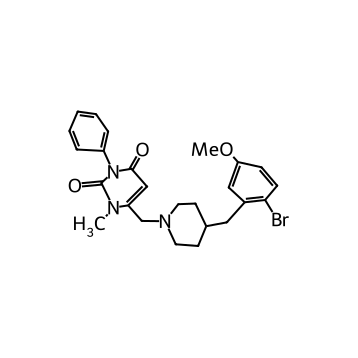 COc1ccc(Br)c(CC2CCN(Cc3cc(=O)n(-c4ccccc4)c(=O)n3C)CC2)c1